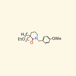 CCOC(=O)C1(C)CCCN(Cc2ccc(OC)cc2)C1=O